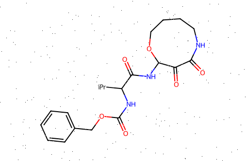 CC(C)C(NC(=O)OCc1ccccc1)C(=O)NC1OCCCCNC(=O)C1=O